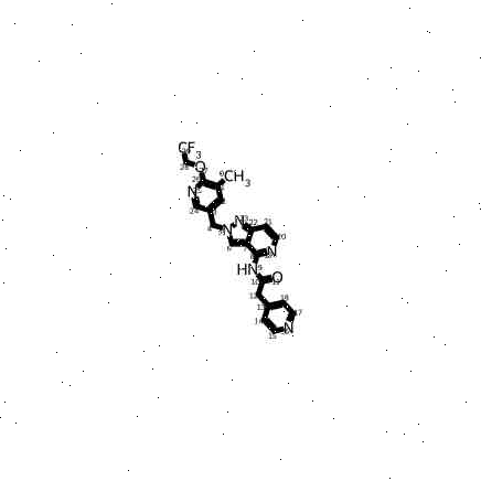 Cc1cc(Cn2cc3c(NC(=O)Cc4ccncc4)nccc3n2)cnc1OCC(F)(F)F